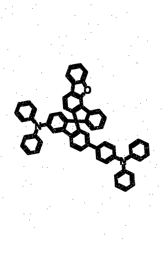 c1ccc(N(c2ccccc2)c2ccc(-c3ccc4c(c3)C3(c5ccc(N(c6ccccc6)c6ccccc6)cc5-4)c4ccccc4-c4c3ccc3c4oc4ccccc43)cc2)cc1